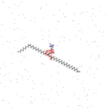 CCCCCCCC/C=C\CCCCCCCCCCCC(=O)O[C@H](COC(=O)CCCCCCCCCCCCCCCCCCCCC)COP(=O)(O)OCC[N+](C)(C)C